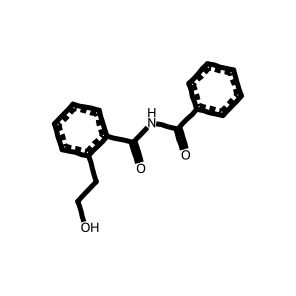 O=C(NC(=O)c1ccccc1CCO)c1ccccc1